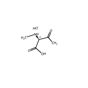 CN[C@@H](C(C)=O)C(=O)O.Cl